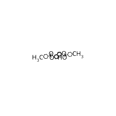 CC1CCC(C(=O)Oc2ccc3cc(OC(O)C4CCC(C)CC4)ccc3c2)CC1